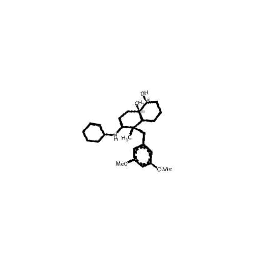 COc1cc(CC2(C)C(NC3CCCCC3)CC[C@@]3(C)C2CCC[C@@H]3O)cc(OC)c1